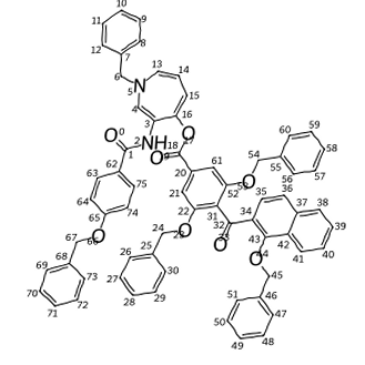 O=C(NC1=CN(Cc2ccccc2)C=CC=C1OC(=O)c1cc(OCc2ccccc2)c(C(=O)c2ccc3ccccc3c2OCc2ccccc2)c(OCc2ccccc2)c1)c1ccc(OCc2ccccc2)cc1